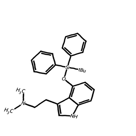 CN(C)CCc1c[nH]c2cccc(O[Si](c3ccccc3)(c3ccccc3)C(C)(C)C)c12